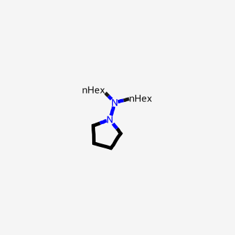 CCCCCCN(CCCCCC)N1CCCC1